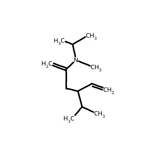 C=CC(CC(=C)N(C)C(C)C)C(C)C